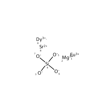 [Dy+3].[Eu+3].[Mg+2].[O-][Si]([O-])([O-])[O-].[Sr+2]